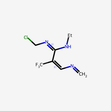 C=N/C=C(\C(=N/CCl)NCC)C(F)(F)F